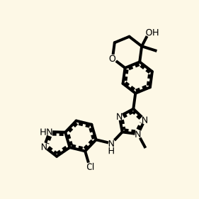 Cn1nc(-c2ccc3c(c2)OCCC3(C)O)nc1Nc1ccc2[nH]ncc2c1Cl